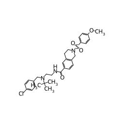 COc1ccc(S(=O)(=O)N2CCc3cc(C(=O)NCCN(Cc4ccc(Cl)cc4)C(C)(C)C)ccc3C2)cc1